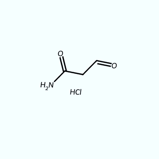 Cl.NC(=O)CC=O